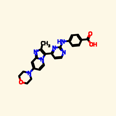 Cc1nc2cc(N3CCOCC3)ccn2c1-c1ccnc(Nc2ccc(C(=O)O)cc2)n1